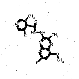 COc1cc(F)cc2nc(NNC(=O)c3c(C)cncc3Cl)c(C)nc12